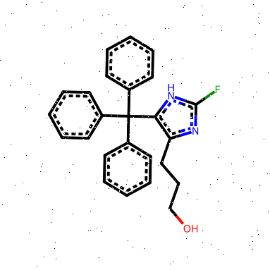 OCCCc1nc(F)[nH]c1C(c1ccccc1)(c1ccccc1)c1ccccc1